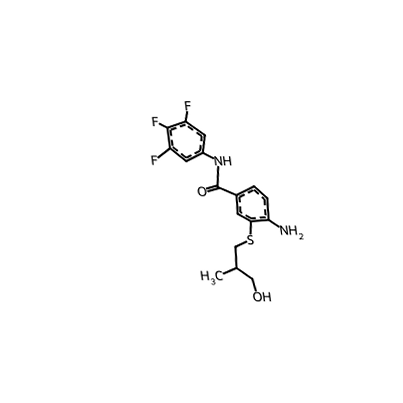 CC(CO)CSc1cc(C(=O)Nc2cc(F)c(F)c(F)c2)ccc1N